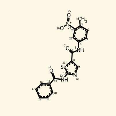 Cc1ccc(NC(=O)c2cnc(NC(=O)c3ccccc3)[se]2)cc1[N+](=O)[O-]